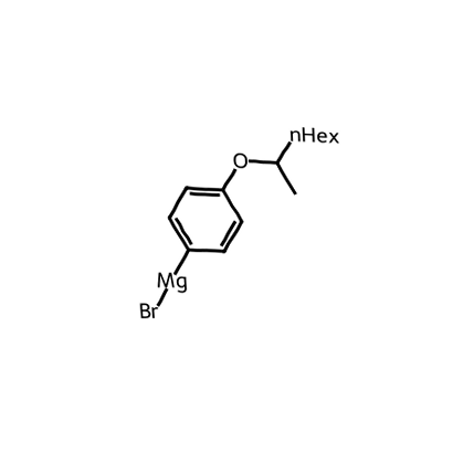 CCCCCCC(C)Oc1cc[c]([Mg][Br])cc1